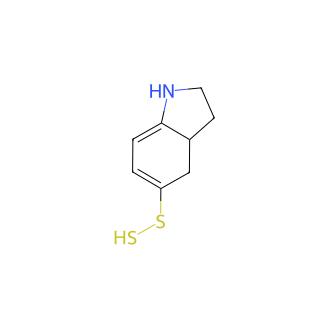 SSC1=CC=C2NCCC2C1